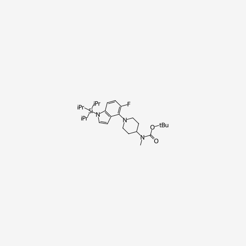 CC(C)[Si](C(C)C)(C(C)C)n1ccc2c(N3CCC(N(C)C(=O)OC(C)(C)C)CC3)c(F)ccc21